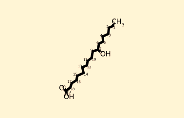 CCCCCCCC(O)CCCCCCCCCCC(=O)O